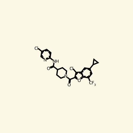 O=C(Nc1ccc(Cl)cn1)C1CCN(C(=O)c2oc3c(C(F)(F)F)cc(C4CC4)cc3c2Cl)CC1